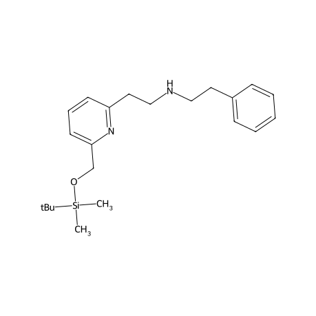 CC(C)(C)[Si](C)(C)OCc1cccc(CCNCCc2ccccc2)n1